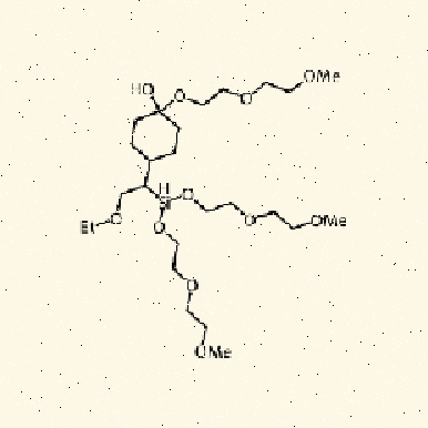 CCOCC(C1CCC(O)(OCCOCCOC)CC1)[SiH](OCCOCCOC)OCCOCCOC